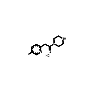 Cl.O=C(Cc1ccc(F)cn1)N1CCNCC1